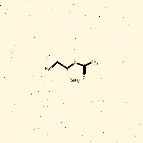 CCCOC(C)=O.[SnH2]